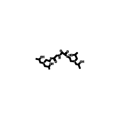 CC(O)CN(CCSC(=O)CNC(=O)C(=O)SCCN(CC(C)O)CC(C)O)CC(C)O